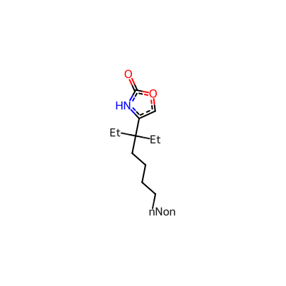 CCCCCCCCCCCCCC(CC)(CC)c1coc(=O)[nH]1